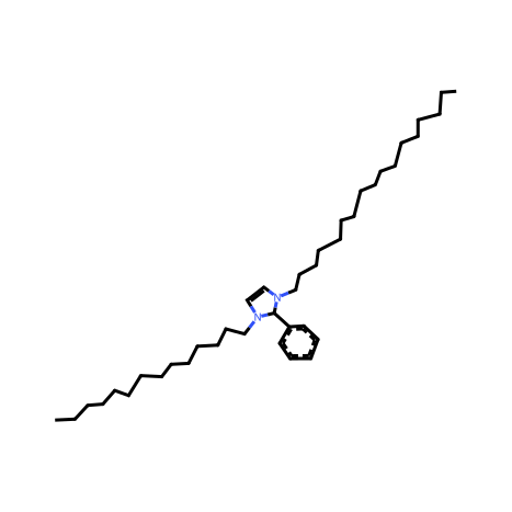 CCCCCCCCCCCCCCCCCN1C=CN(CCCCCCCCCCCCCC)C1c1ccccc1